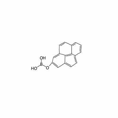 OB(O)Oc1cc2ccc3cccc4ccc(c1)c2c34